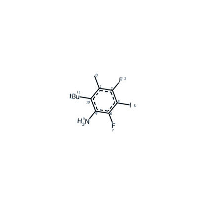 Cc1c(F)c(I)c(F)c(N)c1C(C)(C)C